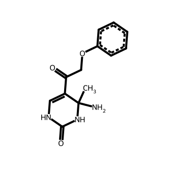 CC1(N)NC(=O)NC=C1C(=O)COc1ccccc1